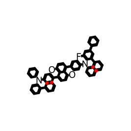 Fc1cc(-c2ccccc2)cc(-c2ccccc2)c1N(c1ccccc1)c1ccc2c(c1)Oc1ccc3c4c(ccc-2c14)Oc1cc(N(c2ccccc2)c2ccccc2-c2ccccc2)ccc1-3